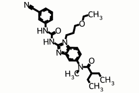 CCOCCCn1c(NC(=O)Nc2cccc(C#N)c2)nc2cc(N(C)C(=O)C(CC)CC)ccc21